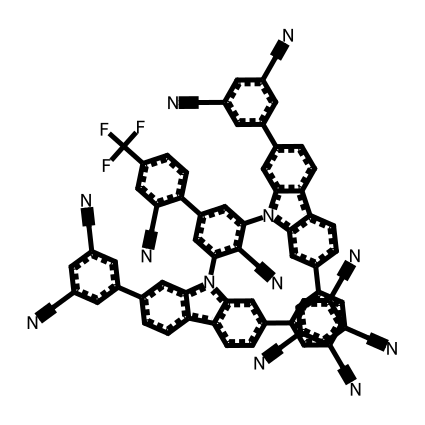 N#Cc1cc(C#N)cc(-c2ccc3c4ccc(-c5cc(C#N)cc(C#N)c5)cc4n(-c4cc(-c5ccc(C(F)(F)F)cc5C#N)cc(-n5c6cc(-c7cc(C#N)cc(C#N)c7)ccc6c6ccc(-c7cc(C#N)cc(C#N)c7)cc65)c4C#N)c3c2)c1